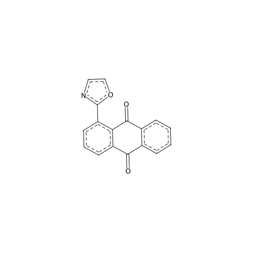 O=C1c2ccccc2C(=O)c2c1cccc2-c1ncco1